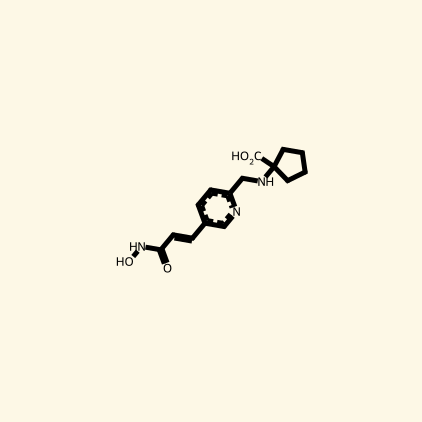 O=C(C=Cc1ccc(CNC2(C(=O)O)CCCC2)nc1)NO